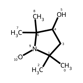 CC1(C)CC(O)C(C)(C)N1[O]